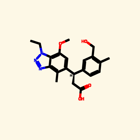 CCn1nnc2c(C)c([C@H](CC(=O)O)c3ccc(C)c(CO)c3)cc(OC)c21